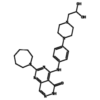 O=c1[nH]ncc2nc(N3CCCCCC3)nc(Nc3ccc(N4CCN(CC(O)O)CC4)cc3)c12